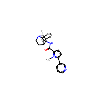 C[C@H]1[C@H](NC(=O)c2ccc(-c3cccnc3)n2C)C2CCN1CC2